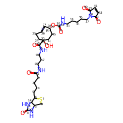 O=C(CCCCC1SCC2NC(=O)NC21)NCCCNC(=O)[C@]1(O)CC/C=C/[C@H](OC(=O)NCCCCCN2C(=O)C=CC2=O)CC1